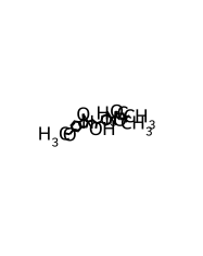 COc1ccc2c(c1)CN(CC(O)C1CCN(C(=O)OC(C)(C)C)CC1)C2=O